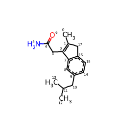 CC1=C(CC(N)=O)c2cc(CC(C)C)ccc2C1